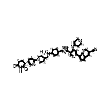 CN(CC1CCN(c2ccc([C@H]3CCC(=O)NC3=O)cn2)CC1)C1CCC(c2nnc(-c3cnc(-c4ccc5cc(C#N)cnn45)cc3NC3CCOCC3)s2)CC1